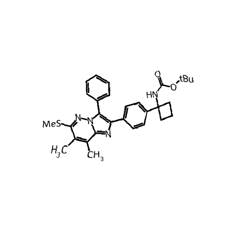 CSc1nn2c(-c3ccccc3)c(-c3ccc(C4(NC(=O)OC(C)(C)C)CCC4)cc3)nc2c(C)c1C